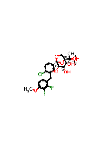 COc1ccc(Cc2cc([C@]34OC[C@@](C(C)(C)O)(O3)[C@@H](O)[C@H](O)[C@H]4O)ccc2Cl)c(F)c1F